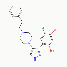 Oc1cc(O)c(-c2n[nH]cc2N2CCN(CCc3ccccc3)CC2)cc1Cl